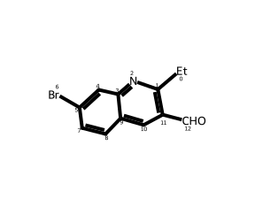 CCc1nc2cc(Br)ccc2cc1C=O